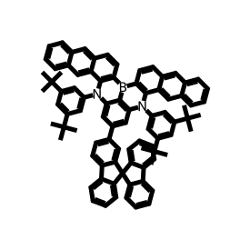 CC(C)(C)c1cc(N2c3cc(-c4ccc5c(c4)C4(c6ccccc6-c6ccccc64)c4ccccc4-5)cc4c3B(c3ccc5cc6ccccc6cc5c32)c2ccc3cc5ccccc5cc3c2N4c2cc(C(C)(C)C)cc(C(C)(C)C)c2)cc(C(C)(C)C)c1